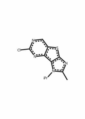 Cc1nc2sc3cnc(Cl)nc3c2n1C(C)C